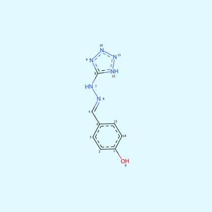 Oc1ccc(C=NNc2nnn[nH]2)cc1